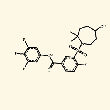 CC1(C)CCC(O)CCN1S(=O)(=O)c1cc(C(=O)Nc2cc(F)c(F)c(F)c2)ccc1F